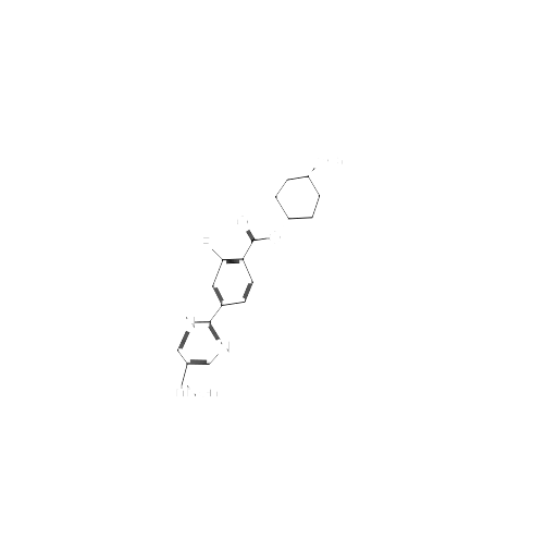 CCCCCCCCCc1cnc(-c2ccc(C(=O)O[C@H]3CC[C@H](CCCCCCCC)CC3)c(F)c2)nc1